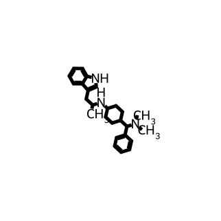 CC(Cc1c[nH]c2ccccc12)NC1CCC(C(c2ccccc2)N(C)C)CC1